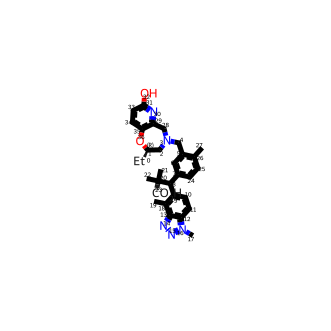 CC[C@@H]1CN(Cc2cc(C(c3ccc4c(nnn4C)c3C)C(C)(C)C(=O)O)ccc2C)Cc2nc(O)ccc2O1